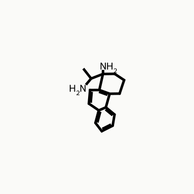 CC(N)C1(N)CCCc2c1ccc1ccccc21